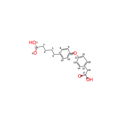 O=C(O)CCCCc1ccc(Oc2ccc(CC(=O)O)cc2)cc1